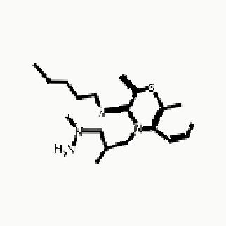 C=C1SC(C)=C(/C=C\C)N(CC(C)CN(C)N)/C1=N/CCCCC